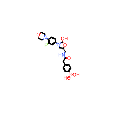 O=C(Cc1ccc(B(O)O)cc1)NC[C@H]1CN(c2ccc(N3CCOCC3)c(F)c2)C(O)O1